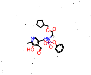 Cc1ncc(COP(=O)(N[C@@H](C)C(=O)OCC2CCCC2)Oc2ccccc2)c(C=O)c1O